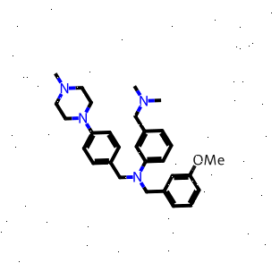 COc1cccc(CN(Cc2ccc(N3CCN(C)CC3)cc2)c2cccc(CN(C)C)c2)c1